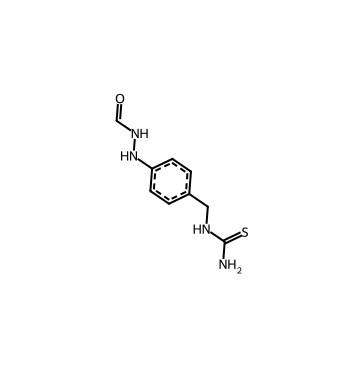 NC(=S)NCc1ccc(NNC=O)cc1